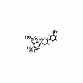 CC(C)c1cccc(C2CCN(C(=O)[C@H]3NC[C@H](O)C[C@@H]3C(=O)NO)CC2)c1